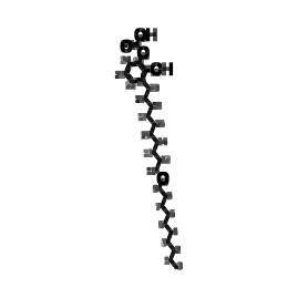 CCCCCCCCCCOCCCCCCCCCCc1cccc(OC(=O)O)c1O